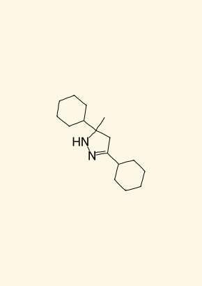 CC1(C2CCCCC2)CC(C2CCCCC2)=NN1